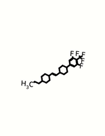 CCCC1CCC(/C=C/C2CCC(c3cc(F)c(C(F)(F)F)c(F)c3)CC2)CC1